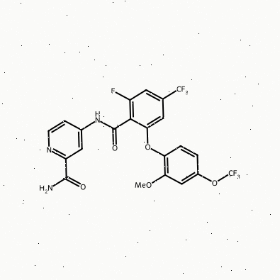 COc1cc(OC(F)(F)F)ccc1Oc1cc(C(F)(F)F)cc(F)c1C(=O)Nc1ccnc(C(N)=O)c1